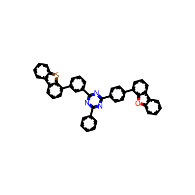 c1ccc(-c2nc(-c3ccc(-c4cccc5c4oc4ccccc45)cc3)nc(-c3cccc(-c4cccc5c4sc4ccccc45)c3)n2)cc1